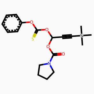 C[Si](C)(C)C#CC(OC(=O)N1CCCC1)OC(=S)Oc1ccccc1